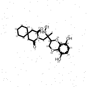 CCNC(C)(CN1C(=O)CC2(CCCCC2)CC1=O)C1COc2c(O)ccc(O)c2O1